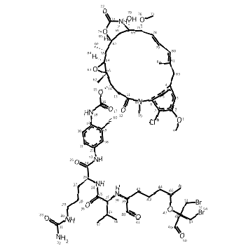 COc1cc2cc(c1Cl)N(C)C(=O)C[C@H](OC(=O)Nc1ccc(NC(=O)[C@H](CCCNC(N)=O)NC(=O)[C@@H](NC(C=O)CCCC(C)OC(C=O)(CBr)CBr)C(C)C)cc1F)[C@]1(C)O[C@H]1[C@H](C)[C@@H]1C[C@@](O)(NC(=O)O1)[C@H](OC)/C=C/C=C(\C)C2